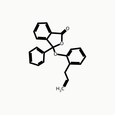 C=CCc1ccccc1OC1(c2ccccc2)OC(=O)c2ccccc21